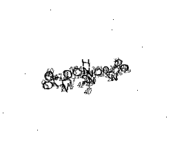 COc1cc2nccc(Oc3ccc(NN(c4ccc(Oc5ccnc6cc(OC)c(OC)cc56)cc4)c4nc(C)c(C)s4)cc3)c2cc1OC